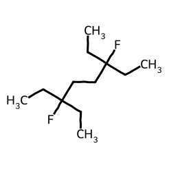 CCC(F)(CC)CCC(F)(CC)CC